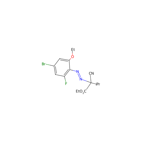 CCOC(=O)C(C#N)(/N=N/c1c(F)cc(Br)cc1OCC)C(C)C